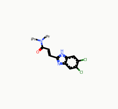 CC(C)N(C(=O)C=Cc1nc2cc(Cl)c(Cl)cc2[nH]1)C(C)C